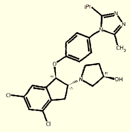 Cc1nnc(C(C)C)n1-c1ccc(O[C@@H]2c3cc(Cl)cc(Cl)c3C[C@H]2N2CC[C@@H](O)C2)cc1